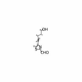 O=Cc1nc(C#CCCCO)cs1